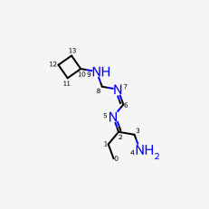 CC/C(CN)=N/C=N\CNC1CCC1